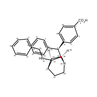 O=C(O)c1ccc([C@H](c2ccccc2)[C@@H]2[C@H](NCc3ccccc3)C3CCN2CC3)cc1